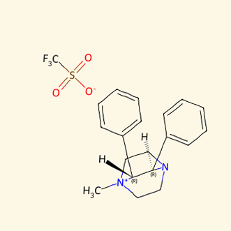 C[N+]12CCN(CC1)[C@H](c1ccccc1)[C@H]2c1ccccc1.O=S(=O)([O-])C(F)(F)F